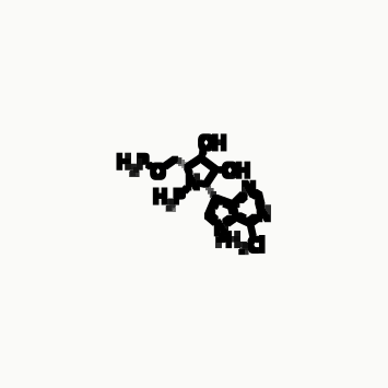 O[C@@H]1[C@H](O)[C@@H](COP)N(P)[C@H]1c1cn(P)c2c(Cl)ncnc12